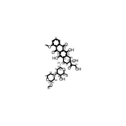 COc1cccc2c1C(=O)c1c(O)c3c(c(O)c1C2=O)C[C@@](O)(C(=O)CO)C[C@@H]3C[C@H]1C[C@H](N2CCO[C@@H](OC)C2)[C@H](O)[C@H](C)O1